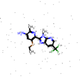 CCSc1cc(N)c(C)nc1-c1nc2cc(C(F)(F)F)cnc2n1C